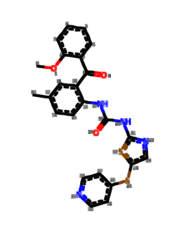 COc1ccccc1C(=O)c1cc(C)ccc1NC(=O)Nc1ncc(Sc2ccncc2)s1